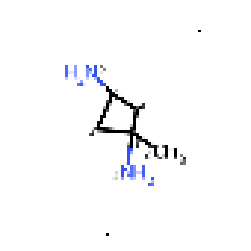 CC1(N)CC(N)C1